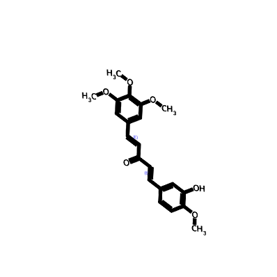 COc1ccc(/C=C/C(=O)/C=C/c2cc(OC)c(OC)c(OC)c2)cc1O